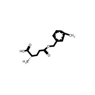 B[C@@H](CCC(=O)OCc1cccc(C)c1)C(=O)O